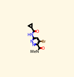 CNC(=O)c1nnc(NC(=O)C2CC2)cc1Br